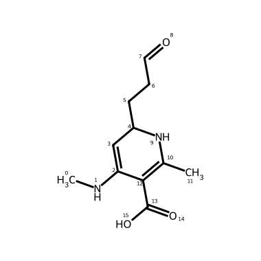 CNC1=CC(CCC=O)NC(C)=C1C(=O)O